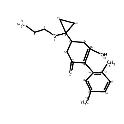 CCCSC1(C2CC(=O)C(c3cc(C)ccc3C)=C(O)C2)CC1